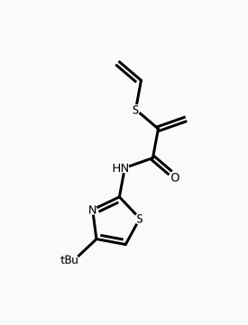 C=CSC(=C)C(=O)Nc1nc(C(C)(C)C)cs1